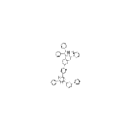 C1=C(c2ccccc2)N2NC(c3ccccc3)C(c3ccccc3)=C2c2ccc(-c3ccc(-c4nc(-c5ccccc5)nc(-c5cccc(-c6ccccc6)c5)n4)cc3)cc21